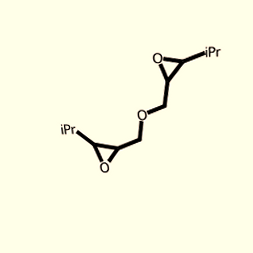 CC(C)C1OC1COCC1OC1C(C)C